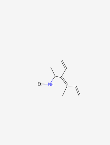 C=C/C(C)=C(\C=C)C(C)NCC